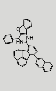 c1ccc(C2NC(c3ccc(-c4ccc5ccccc5c4)c4c3-c3cccc5cccc-4c35)Nc3c2oc2ccccc32)cc1